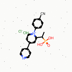 CC(c1cc(-c2ccncc2)cc[n+]1-c1ccc(C#N)cc1)P(=O)(O)O.Cl.[Cl-]